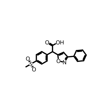 CS(=O)(=O)c1ccc(C(C(=O)O)c2cc(-c3ccccc3)no2)cc1